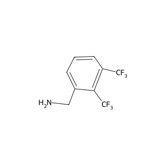 NCc1cccc(C(F)(F)F)c1C(F)(F)F